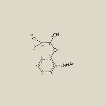 CC(=O)Nc1ccccc1OC(C)C1CO1